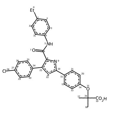 CCc1ccc(NC(=O)c2nc(-c3ccc(OC(C)(C)C(=O)O)cc3)sc2-c2ccc(Cl)cc2)cc1